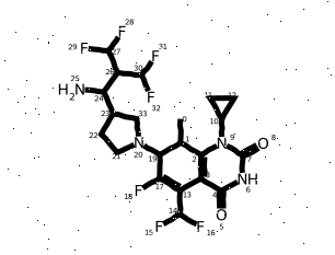 CC1c2c(c(=O)[nH]c(=O)n2C2CC2)C(C(F)F)=C(F)C1N1CCC(C(N)C(C(F)F)C(F)F)C1